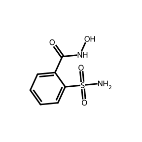 NS(=O)(=O)c1ccccc1C(=O)NO